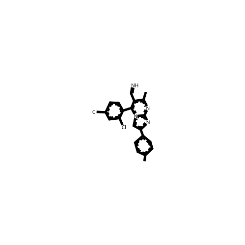 Cc1ccc(-c2cn3c(-c4ccc(Cl)cc4Cl)c(C=N)c(C)nc3n2)cc1